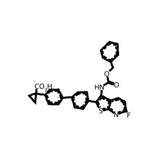 O=C(Nc1c(-c2ccc(-c3ccc(C4(C(=O)O)CC4)cc3)cc2)sc2nc(F)ccc12)OCc1ccccc1